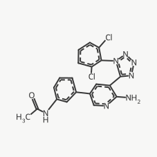 CC(=O)Nc1cccc(-c2cnc(N)c(-c3nnnn3-c3c(Cl)cccc3Cl)c2)c1